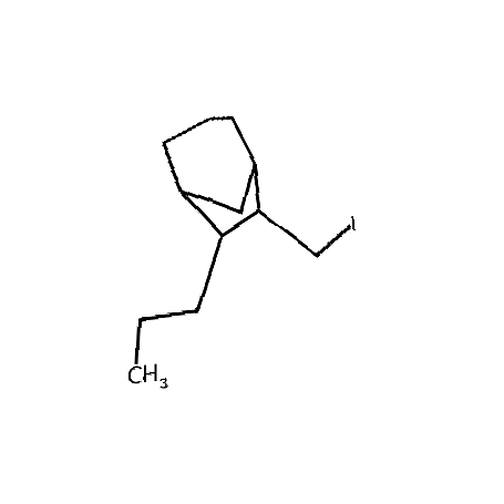 CCCC1C2CCC(C2)C1CI